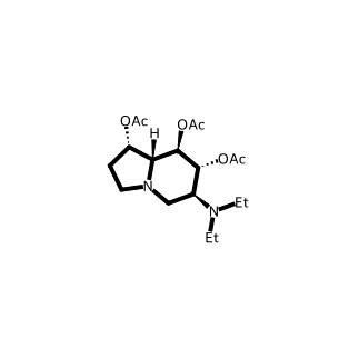 CCN(CC)[C@H]1CN2CC[C@H](OC(C)=O)[C@@H]2[C@@H](OC(C)=O)[C@@H]1OC(C)=O